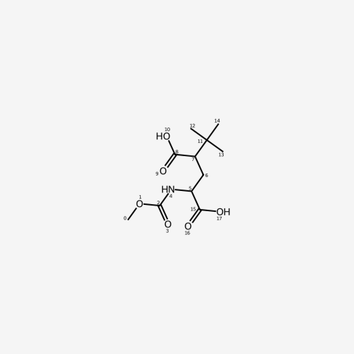 COC(=O)NC(CC(C(=O)O)C(C)(C)C)C(=O)O